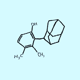 Cc1ccc(O)c(C2C3CC4CC(C3)CC2C4)c1C